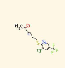 CC(=O)/C=C/CCSc1ncc(C(F)(F)F)cc1Cl